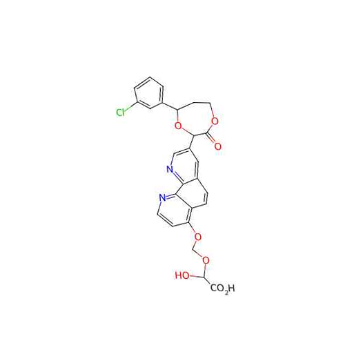 O=C(O)C(O)OCOc1ccnc2c1ccc1cc(C3OC(c4cccc(Cl)c4)CCOC3=O)cnc12